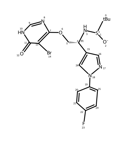 CC(C)(C)[S+]([O-])N[C@@H](COc1nc[nH]c(=O)c1Br)c1cnn(-c2ccc(F)cc2)c1